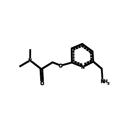 CN(C)C(=O)COc1cccc(CN)n1